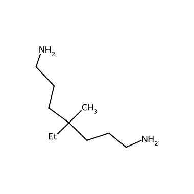 CCC(C)(CCCN)CCCN